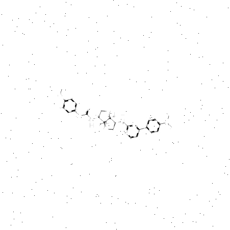 COc1ccc(NC(=O)N[C@H]2CO[C@H]3[C@@H]2OC[C@@H]3Nc2nccc(-c3ccc(N(C)C)cc3)n2)cc1